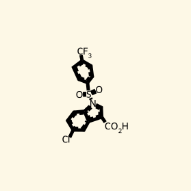 O=C(O)c1cn(S(=O)(=O)c2ccc(C(F)(F)F)cc2)c2ccc(Cl)cc12